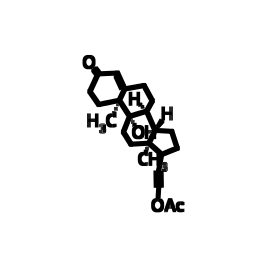 CC(=O)OC#CC1CC[C@H]2[C@@H]3CCC4=CC(=O)CC[C@]4(C)[C@]3(O)CC[C@]12C